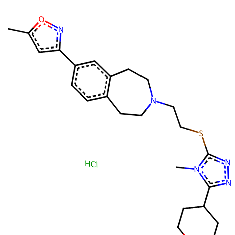 Cc1cc(-c2ccc3c(c2)CCN(CCSc2nnc(C4CCOCC4)n2C)CC3)no1.Cl